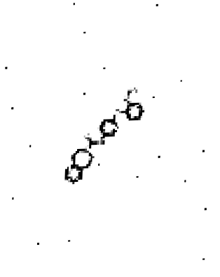 CC(C)Oc1ccccc1Oc1ccc(NC(=O)N2CCc3ccccc3CC2)cn1